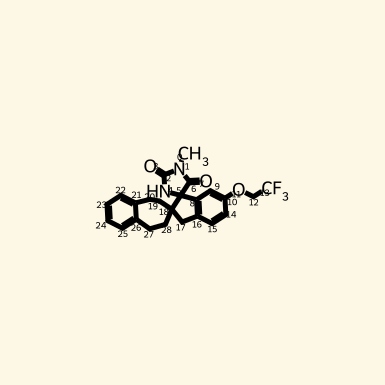 CN1C(=O)NC2(C1=O)c1cc(OCC(F)(F)F)ccc1CC21CCc2ccccc2CC1